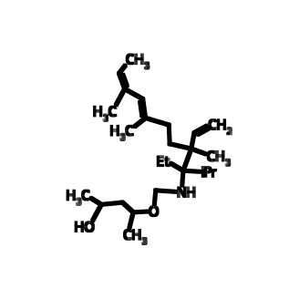 C=CC(C)(CC/C(C)=C/C(C)=C\C)C(CC)(NCOC(C)CC(C)O)C(C)C